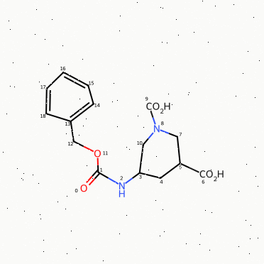 O=C(NC1CC(C(=O)O)CN(C(=O)O)C1)OCc1ccccc1